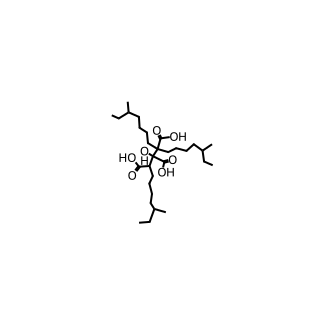 CCC(C)CCCCC(C(=O)O)C(O)(C(=O)O)C(CCCCC(C)CC)(CCCCC(C)CC)C(=O)O